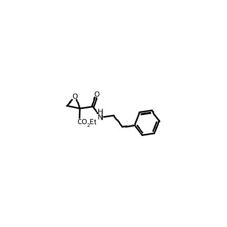 CCOC(=O)C1(C(=O)NCCc2ccccc2)CO1